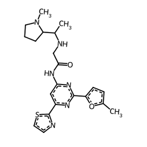 Cc1ccc(-c2nc(NC(=O)CNC(C)C3CCCN3C)cc(-c3nccs3)n2)o1